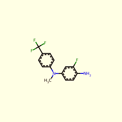 CN(c1ccc(C(F)(F)F)cc1)c1ccc(N)c(F)c1